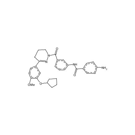 COc1ccc(C2=NN(C(=O)c3cccc(NC(=O)c4ccc(N)cc4)c3)CCC2)cc1OC1CCCC1